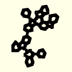 c1ccc(-c2nc(-n3c4ccccc4c4cc(-c5ccc6c(c5)c5c7ccc8oc9ccccc9c8c7c7c8ccccc8oc7c5n6-c5ccccc5)ccc43)nc3ccccc23)cc1